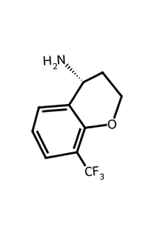 N[C@@H]1CCOc2c1cccc2C(F)(F)F